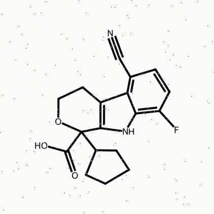 N#Cc1ccc(F)c2[nH]c3c(c12)CCOC3(C(=O)O)C1CCCC1